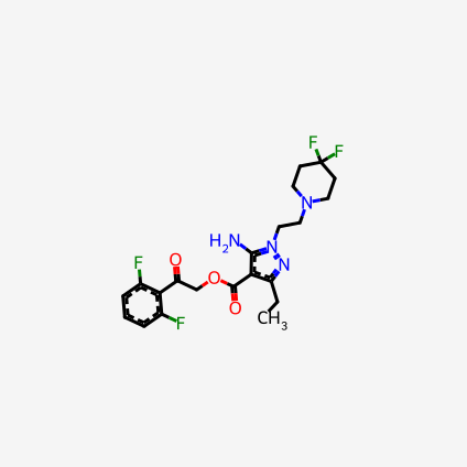 CCc1nn(CCN2CCC(F)(F)CC2)c(N)c1C(=O)OCC(=O)c1c(F)cccc1F